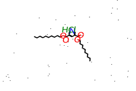 CCCCCCCCCCOC(=O)c1cncc(C(=O)OCCCCCCCCCC)c1.Cl